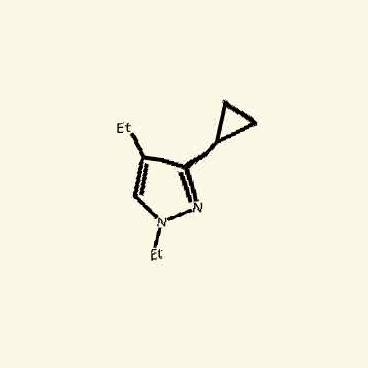 CCc1cn(CC)nc1C1CC1